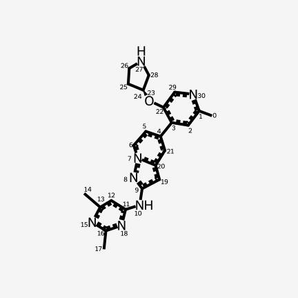 Cc1cc(-c2ccn3nc(Nc4cc(C)nc(C)n4)cc3c2)c(O[C@H]2CCNC2)cn1